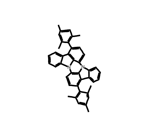 Cc1cc(C)c(-c2ccc3c4c2c2ccccc2n4c2ccc(-c4c(C)cc(C)cc4C)c4c5ccccc5n3c42)c(C)c1